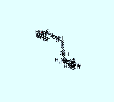 CS(=S)CO[C@H]1C[C@H](n2cc(C#CCNC(=O)OCCCCOCSSC(C)(C)CCOC(=O)NCCOCCOCCNC(=O)c3ccc(C(=O)O)c(C4=c5cc6c7c(c5Oc5c4cc4c8c5CCCN8CCC4)CCC[N+]=7CCC6)c3)c3c(N)ncnc32)O[C@@H]1COP(=O)(O)O[PH](=O)OP(=O)(O)O